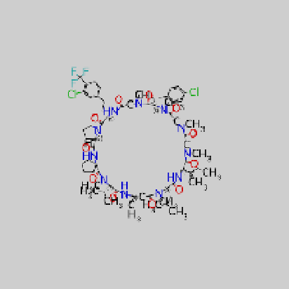 CC[C@H](C)[C@@H]1NC(=O)[C@H](CC(C)C)N(C)C(=O)C[C@@H](C)NC(=O)[C@H](C(C)C)N(C)C(=O)C2(CCCC2)NC(=O)[C@@H]2CCCN2C(=O)[C@H](CCc2ccc(C(F)(F)F)c(Cl)c2)NC(=O)CN(C)C(=O)[C@H](Cc2ccc(Cl)cc2)N(C)C(=O)CN(C)C(=O)CN(C)C1=O